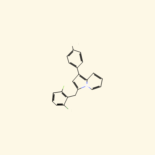 O=C(O)c1ccc(-c2cc(Cc3c(F)cccc3Cl)n3ccccc23)cc1